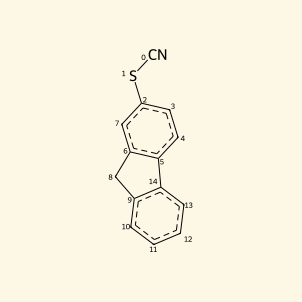 N#CSc1ccc2c(c1)Cc1ccccc1-2